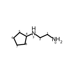 NCCNC1CCCC1